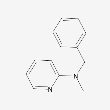 CN(Cc1ccccc1)c1cc[c]cn1